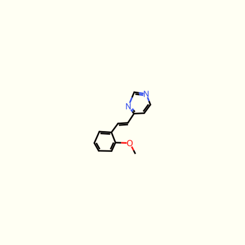 COc1ccccc1/C=C/c1ccncn1